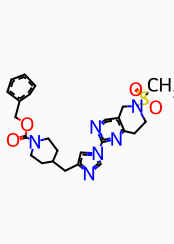 CS(=O)(=O)N1CCc2nc(-n3cnc(CC4CCN(C(=O)OCc5ccccc5)CC4)c3)ncc2C1